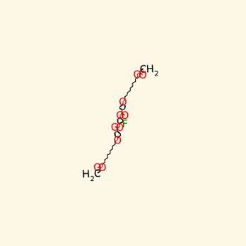 C=CC(=O)OCCCCCCCCCCCOc1ccc(C(=O)Oc2ccc(OC(=O)c3ccc(OCCCCCCCCCCCOC(=O)C=C)cc3)c(F)c2)cc1